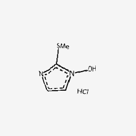 CSc1nccn1O.Cl